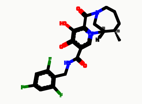 C[C@H]1CCCN2C[C@H]1n1cc(C(=O)NCc3c(F)cc(F)cc3F)c(=O)c(O)c1C2=O